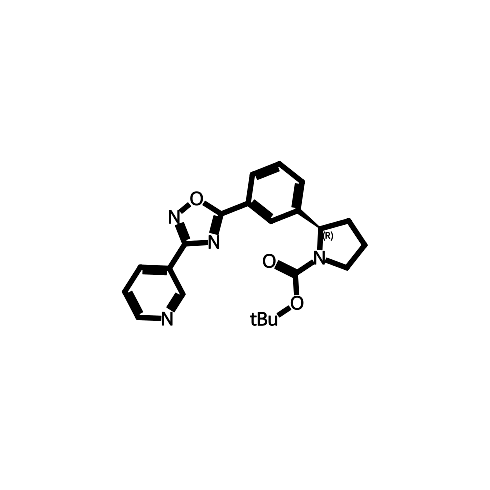 CC(C)(C)OC(=O)N1CCC[C@@H]1c1cccc(-c2nc(-c3cccnc3)no2)c1